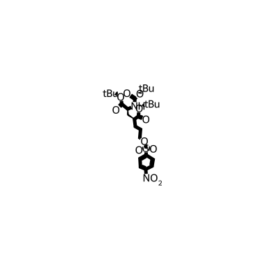 CC(C)(C)OC(=O)N[C@@H](C[C@H](CCCOS(=O)(=O)c1ccc([N+](=O)[O-])cc1)C(=O)OC(C)(C)C)C(=O)OC(C)(C)C